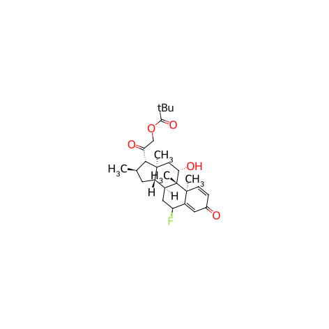 C[C@@H]1C[C@H]2[C@@H]3C[C@H](F)C4=CC(=O)C=C[C@]4(C)[C@@]3(C)[C@@H](O)C[C@]2(C)[C@H]1C(=O)COC(=O)C(C)(C)C